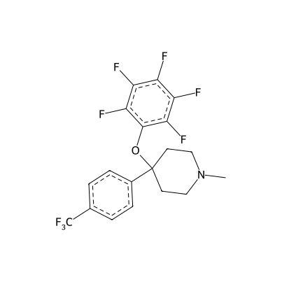 CN1CCC(Oc2c(F)c(F)c(F)c(F)c2F)(c2ccc(C(F)(F)F)cc2)CC1